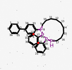 c1ccc(-c2ccc(P3CCCCCCCCCPP(c4ccccc4)P3c3ccccc3)cc2)cc1